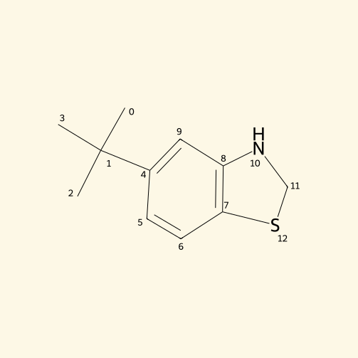 CC(C)(C)c1ccc2c(c1)NCS2